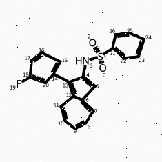 O=S(=O)(Nc1cc2cccccc-2c1-c1cccc(F)c1)c1ccccc1